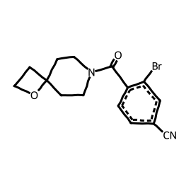 N#Cc1ccc(C(=O)N2CCC3(CCO3)CC2)c(Br)c1